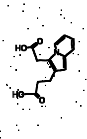 O=C(O)CCc1cc2ccccn2c1CC(=O)O